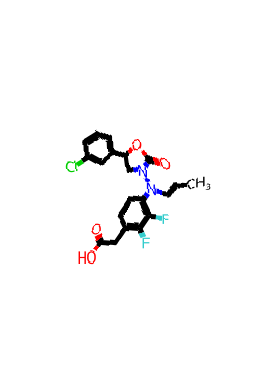 CCCN(c1ccc(CC(=O)O)c(F)c1F)N1CC(c2cccc(Cl)c2)OC1=O